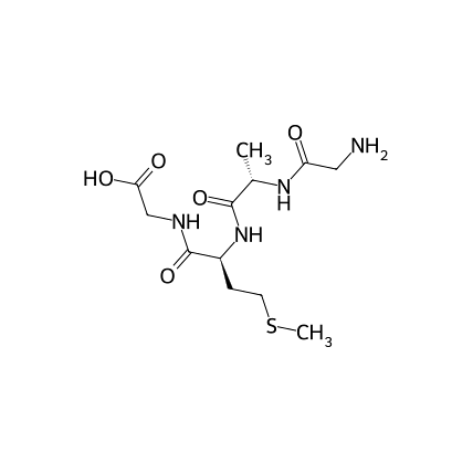 CSCC[C@H](NC(=O)[C@H](C)NC(=O)CN)C(=O)NCC(=O)O